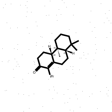 CC(C)C1=C2CC[C@H]3C(C)(C)CCC[C@]3(C)[C@H]2CCC1=O